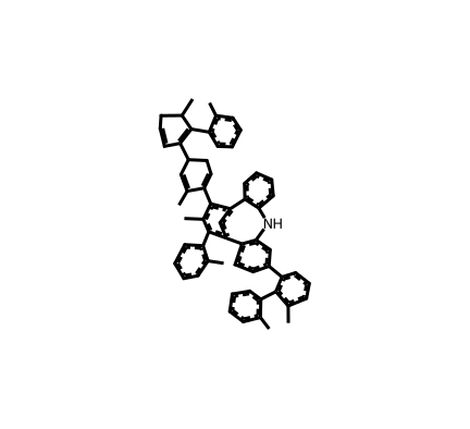 CC1=CC(C2=C(c3ccccc3C)C(C)CC=C2)CC=C1c1c2cc(c(-c3ccccc3C)c1C)-c1ccc(-c3cccc(C)c3-c3ccccc3C)cc1Nc1ccccc1-2